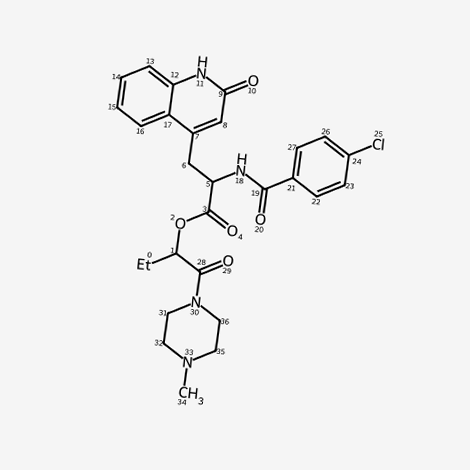 CCC(OC(=O)C(Cc1cc(=O)[nH]c2ccccc12)NC(=O)c1ccc(Cl)cc1)C(=O)N1CCN(C)CC1